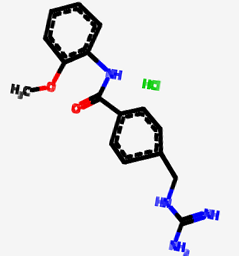 COc1ccccc1NC(=O)c1ccc(CNC(=N)N)cc1.Cl